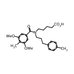 COc1cc(C(=O)N(CCCCC(=O)O)CCCc2ccc(C)cc2)cc(OC)c1C